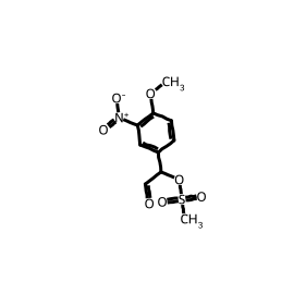 COc1ccc(C(C=O)OS(C)(=O)=O)cc1[N+](=O)[O-]